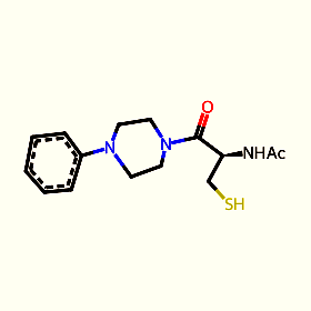 CC(=O)N[C@@H](CS)C(=O)N1CCN(c2ccccc2)CC1